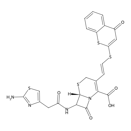 Nc1nc(CC(=O)NC2C(=O)N3C(C(=O)O)=C(C=CSc4cc(=O)c5ccccc5s4)CS[C@@H]23)cs1